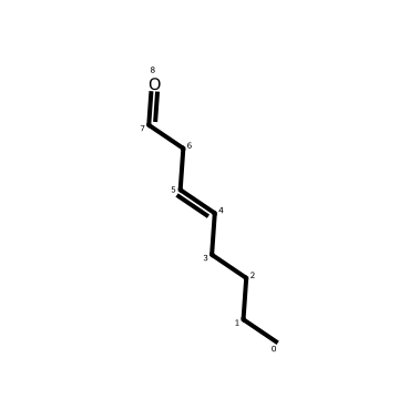 CCCCC=CCC=O